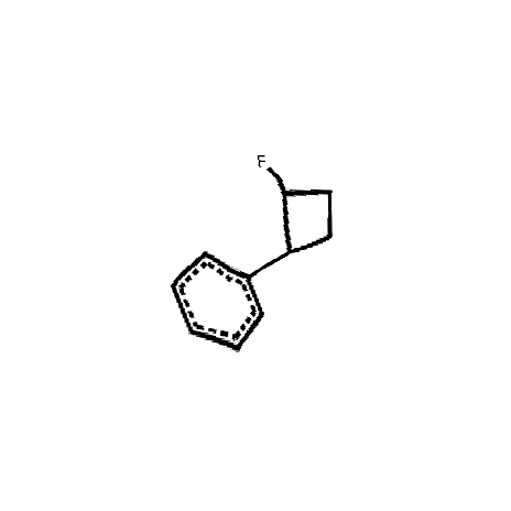 FC1CC[C]1c1ccccc1